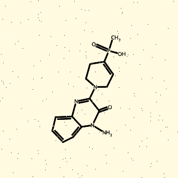 CP(=O)(O)C1=CCN(c2nc3ccccc3n(N)c2=O)CC1